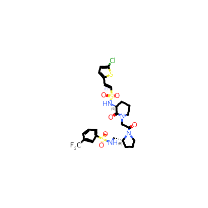 O=C1[C@@H](NS(=O)(=O)/C=C/c2ccc(Cl)s2)CCCN1CC(=O)N1CCC[C@@H]1CNS(=O)(=O)c1cccc(C(F)(F)F)c1